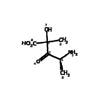 C[C@H](N)C(=O)C(C)(O)C(=O)O